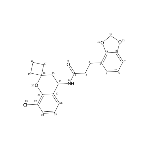 O=C(CCc1cccc2c1OCO2)NC1CC2(CCC2)Oc2c(Cl)cccc21